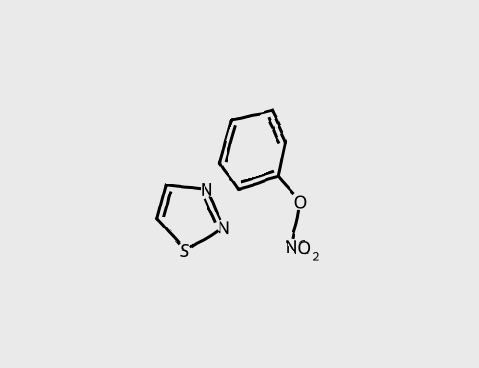 O=[N+]([O-])Oc1ccccc1.c1csnn1